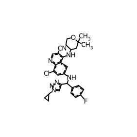 CC1(C)CC(Nc2c(C#N)cnc3c(Cl)cc(NC(c4ccc(F)cc4)c4cn(C5CC5)nn4)cc23)CCO1